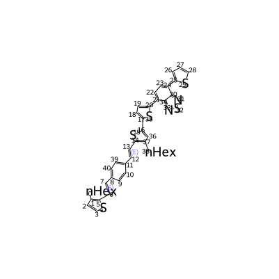 CCCCCCc1ccsc1/C=C/c1ccc(/C=C/c2sc(-c3ccc(-c4ccc(-c5cccs5)c5nsnc45)s3)cc2CCCCCC)cc1